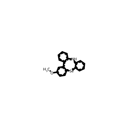 COc1ccc2[se]c3ccccc3[nH]c3ccccc3c2c1